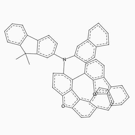 CC1(C)c2ccccc2-c2ccc(N(c3ccc4ccccc4c3)c3ccc4oc5ccc6ccccc6c5c4c3-c3cccc4c3oc3ccccc34)cc21